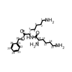 NCCCCC[C@H](NC(=O)[C@@H](N)CCCCN)C(=O)OCc1ccccc1